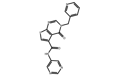 O=C(Nc1cncnc1)c1csc2ncn(Cc3cccnc3)c(=O)c12